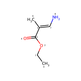 CCOC(=O)C(C)=CN